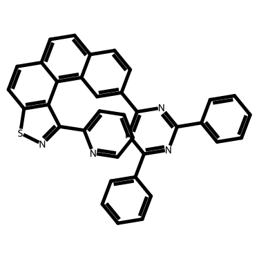 c1ccc(-c2nc(-c3ccccc3)nc(-c3ccc4ccc5ccc6snc(-c7ccccn7)c6c5c4c3)n2)cc1